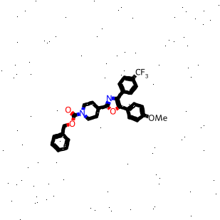 COc1ccc(-c2oc(C3CCN(C(=O)OCc4ccccc4)CC3)nc2-c2ccc(C(F)(F)F)cc2)cc1